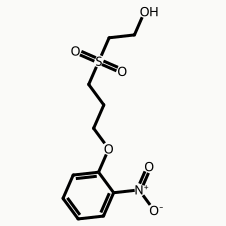 O=[N+]([O-])c1ccccc1OCCCS(=O)(=O)CCO